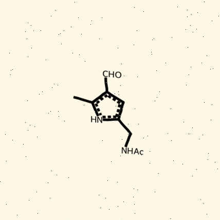 CC(=O)NCc1cc(C=O)c(C)[nH]1